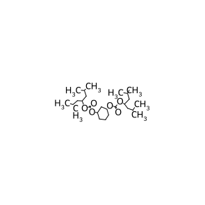 CC(C)CC(CC(C)C)OC(=O)OC1CCCC(OC(=O)OC(CC(C)C)CC(C)C)C1